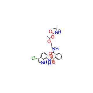 CC(OCCNC(=O)c1ccccc1S(=O)(=O)Nc1cccc2c(Cl)c[nH]c12)OC(=O)NC(C)(C)C